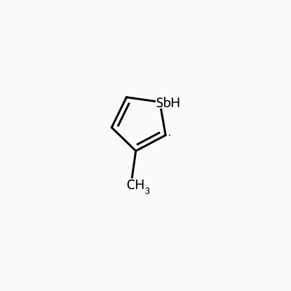 CC1=[C][SbH][CH]=C1